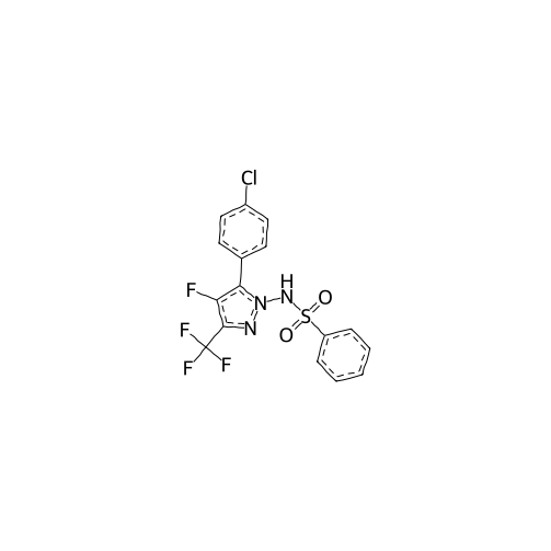 O=S(=O)(Nn1nc(C(F)(F)F)c(F)c1-c1ccc(Cl)cc1)c1ccccc1